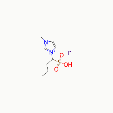 CCCC([n+]1ccn(C)c1)S(=O)(=O)O.[I-]